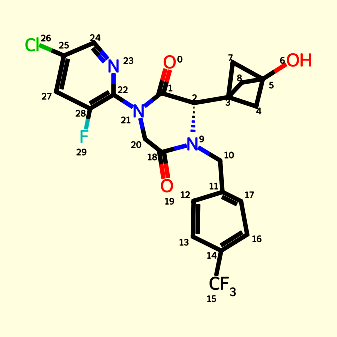 O=C1[C@H](C23CC(O)(C2)C3)N(Cc2ccc(C(F)(F)F)cc2)C(=O)CN1c1ncc(Cl)cc1F